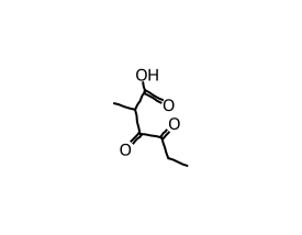 CCC(=O)C(=O)C(C)C(=O)O